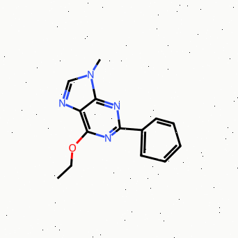 CCOc1nc(-c2ccccc2)nc2c1ncn2C